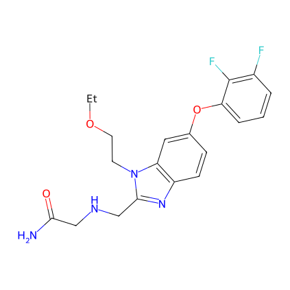 CCOCCn1c(CNCC(N)=O)nc2ccc(Oc3cccc(F)c3F)cc21